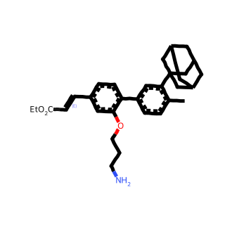 CCOC(=O)/C=C/c1ccc(-c2ccc(C)c(C34CC5CC(CC(C5)C3)C4)c2)c(OCCCN)c1